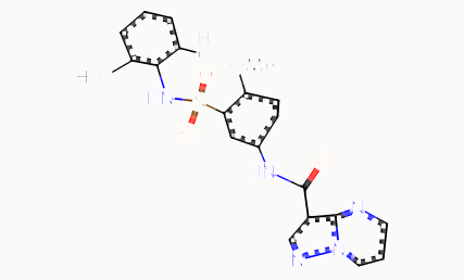 COc1ccc(NC(=O)c2cnn3cccnc23)cc1S(=O)(=O)Nc1c(C)cccc1C